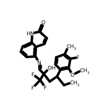 CCC(CC(O)(C=Nc1cccc2[nH]c(=O)ccc12)C(F)(F)F)c1ccc(C)c(F)c1OC